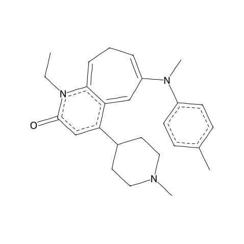 CCn1c(=O)cc(C2CCN(C)CC2)c2c1=CCC=C(N(C)c1ccc(C)cc1)C=2